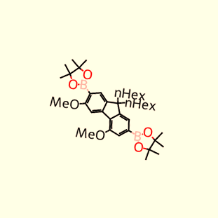 CCCCCCC1(CCCCCC)c2cc(B3OC(C)(C)C(C)(C)O3)c(OC)cc2-c2c(OC)cc(B3OC(C)(C)C(C)(C)O3)cc21